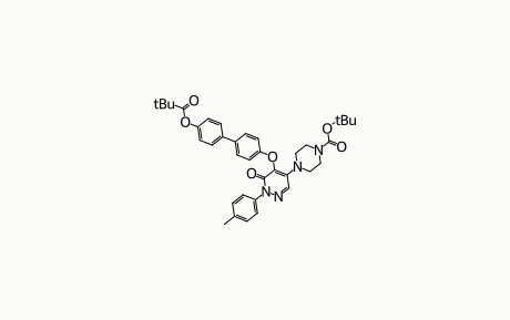 Cc1ccc(-n2ncc(N3CCN(C(=O)OC(C)(C)C)CC3)c(Oc3ccc(-c4ccc(OC(=O)C(C)(C)C)cc4)cc3)c2=O)cc1